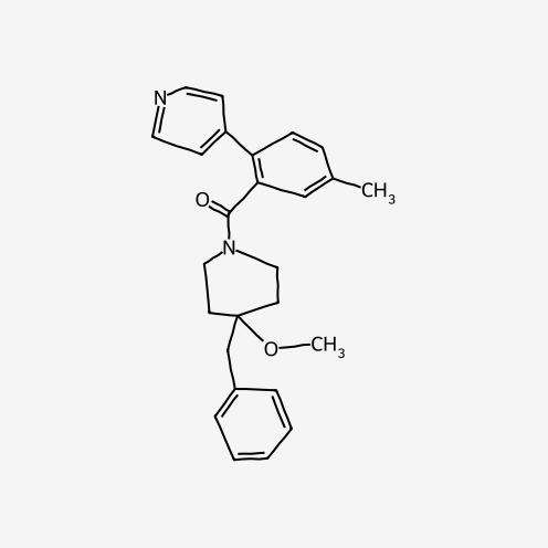 COC1(Cc2ccccc2)CCN(C(=O)c2cc(C)ccc2-c2ccncc2)CC1